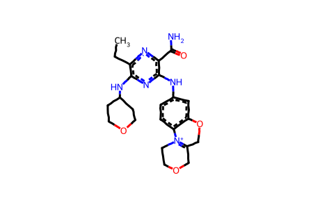 CCc1nc(C(N)=O)c(Nc2ccc3c(c2)OCC2=[N+]3CCOC2)nc1NC1CCOCC1